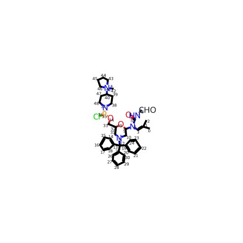 CC(C)=CN(C(=O)NC=O)C1CN(C(c2ccccc2)(c2ccccc2)c2ccccc2)CC(COP(Cl)N2CCC([N+]3(C)CCCC3)CC2)O1